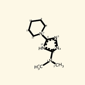 CN(C)c1nnc(N2CCCCC2)[nH]1